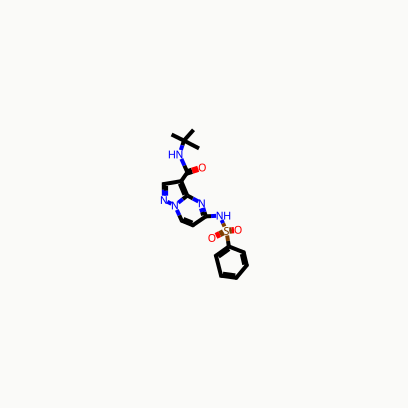 CC(C)(C)NC(=O)c1cnn2ccc(NS(=O)(=O)c3ccccc3)nc12